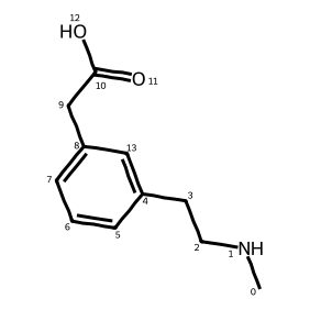 CNCCc1cccc(CC(=O)O)c1